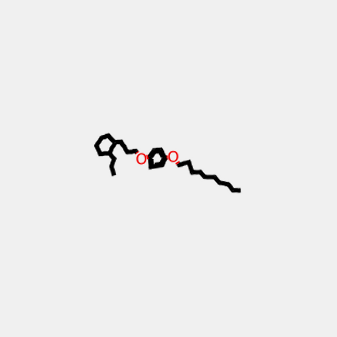 CCCCCCCCCCOc1ccc(OCCCC2CCCCC2CCC)cc1